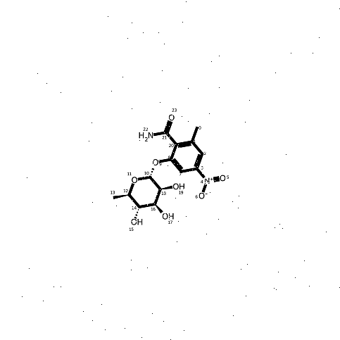 Cc1cc([N+](=O)[O-])cc(O[C@H]2O[C@H](C)[C@@H](O)[C@H](O)[C@@H]2O)c1C(N)=O